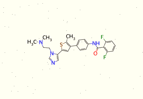 Cc1sc(-c2cncn2CCN(C)C)cc1-c1ccc(NC(=O)c2c(F)cccc2F)cc1